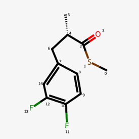 CSC(=O)[C@@H](C)Cc1ccc(F)c(F)c1